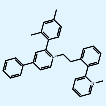 Cc1ccc(-c2cc(-c3ccccc3)cc[n+]2CCc2ccccc2-c2cccc[n+]2C)c(C)c1